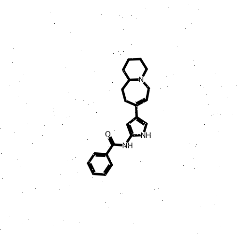 O=C(Nc1cc(C2=CCN3CCCCC3CC2)c[nH]1)c1ccccc1